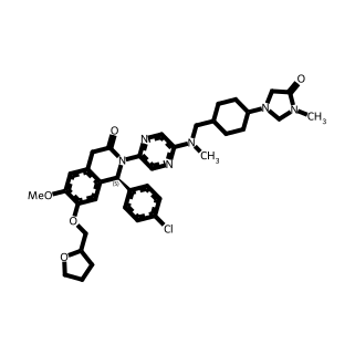 COc1cc2c(cc1OCC1CCCO1)[C@H](c1ccc(Cl)cc1)N(c1cnc(N(C)CC3CCC(N4CC(=O)N(C)C4)CC3)cn1)C(=O)C2